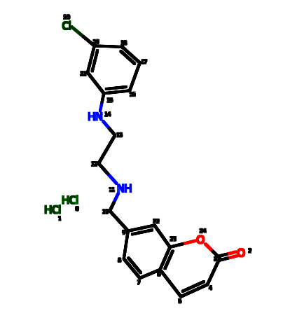 Cl.Cl.O=c1ccc2ccc(CNCCNc3cccc(Cl)c3)cc2o1